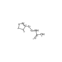 O=C(O)NSSC1=NCCS1